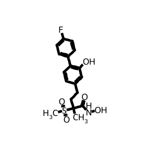 CC(CCc1ccc(-c2ccc(F)cc2)c(O)c1)(C(=O)NO)S(C)(=O)=O